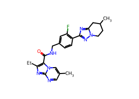 CCc1nc2ncc(C)cn2c1C(=O)NCc1ccc(-c2nc3n(n2)CCC(C)C3)c(F)c1